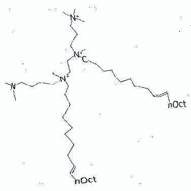 CCCCCCCC/C=C/CCCCCCCC[N+](C)(CCCCN(C)C)CC[N+](C)(CCCCCCCC/C=C/CCCCCCCC)CCC[N+](C)(C)C